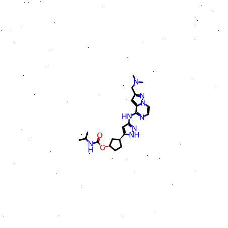 CC(C)NC(=O)O[C@@H]1CC[C@H](c2cc(Nc3nccn4nc(CN(C)C)cc34)n[nH]2)C1